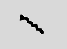 C=CCCCCCCC1CC1